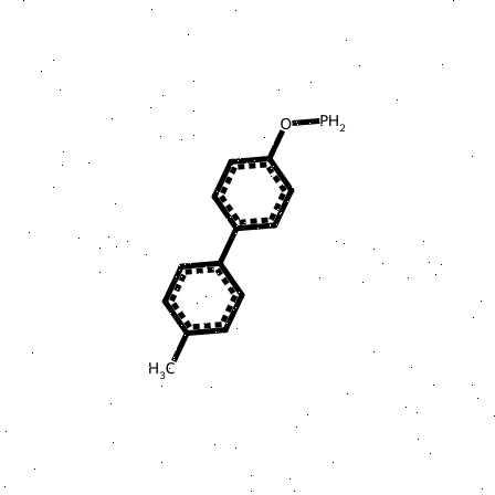 Cc1ccc(-c2ccc(OP)cc2)cc1